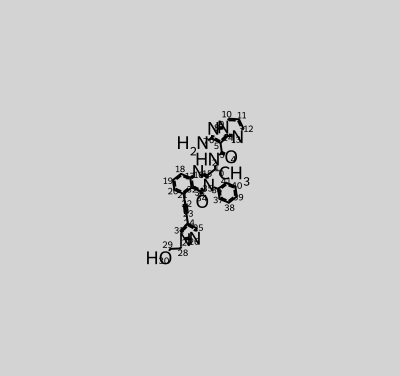 C[C@@H](NC(=O)c1c(N)nn2cccnc12)c1nc2cccc(C#Cc3cnn(CCO)c3)c2c(=O)n1-c1ccccc1